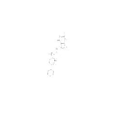 C[C@@H](C(=O)Nc1ccc(-c2ccccc2)nn1)n1cnc2c1c(=O)n(C)c(=O)n2C